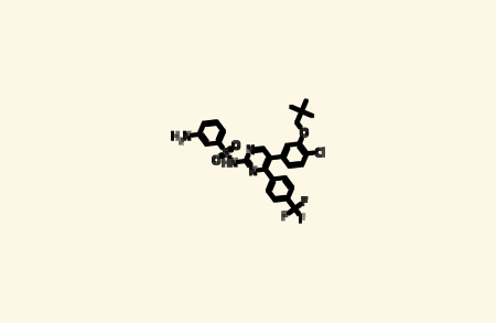 CC(C)(C)COc1cc(-c2cnc(NS(=O)(=O)c3cccc(N)c3)nc2-c2ccc(C(F)(F)F)cc2)ccc1Cl